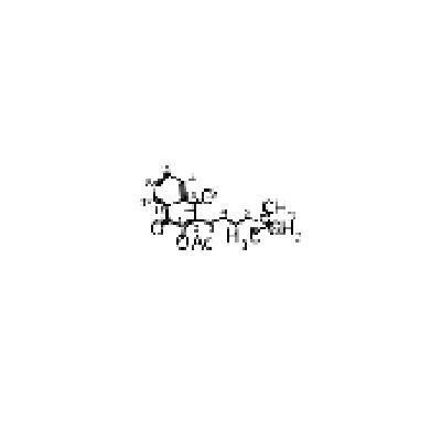 CC(=O)OC1=C(CCCC[Si](C)(C)C)C(=O)c2ccccc2C1=O